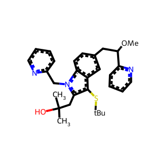 COC(Cc1ccc2c(c1)c(SC(C)(C)C)c(CC(C)(C)O)n2Cc1ccccn1)c1ccccn1